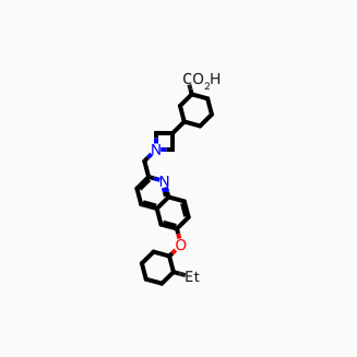 CCC1CCCCC1Oc1ccc2nc(CN3CC(C4CCCC(C(=O)O)C4)C3)ccc2c1